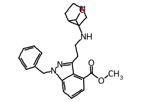 COC(=O)c1cccc2c1c(CCNC1CN3CCC1CC3)nn2Cc1ccccc1